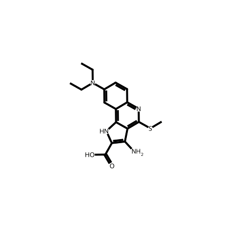 CCN(CC)c1ccc2nc(SC)c3c(N)c(C(=O)O)[nH]c3c2c1